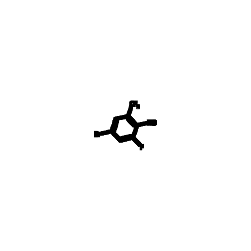 O=Nc1c(F)cc(Br)cc1C(F)(F)F